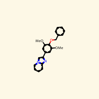 COc1cc(-c2cn3ccccc3n2)cc(OC)c1OCc1ccccc1